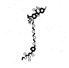 CCOC(=O)/C(O)=C/C(=O)c1ccc(COCCOCCOCCOCCN(c2cc3oc(-c4ccc(F)cc4)c(C(=O)NC)c3cc2C2CC2)S(C)(=O)=O)cc1